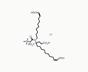 CCCCCCCC/C=C\CCCCCCCCN(C(=O)C[N+](C)(C)C)[C@](CCCCCCCC/C=C\CCCCCCCC)(CCC(=O)O)C(=O)O.[Cl-]